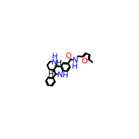 Cc1ccc(CNC(=O)c2ccc3c(c2)[C@H]2NCCC[C@H]2C(c2ccccc2)N3)o1